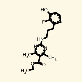 CCOC(=O)c1c(C)nc(NCCCc2cccc(O)c2F)nc1C